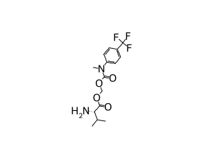 CC(C)[C@H](N)C(=O)OCOC(=O)N(C)c1ccc(C(F)(F)F)cc1